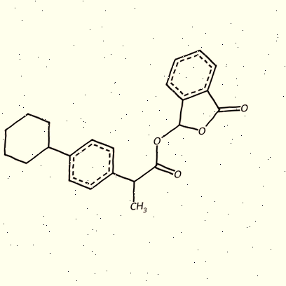 CC(C(=O)OC1OC(=O)c2ccccc21)c1ccc(C2CCCCC2)cc1